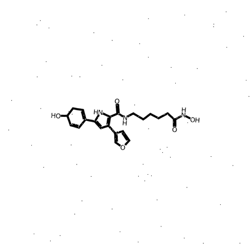 O=C(CCCCCNC(=O)c1[nH]c(C2=CCC(O)C=C2)cc1-c1ccoc1)NO